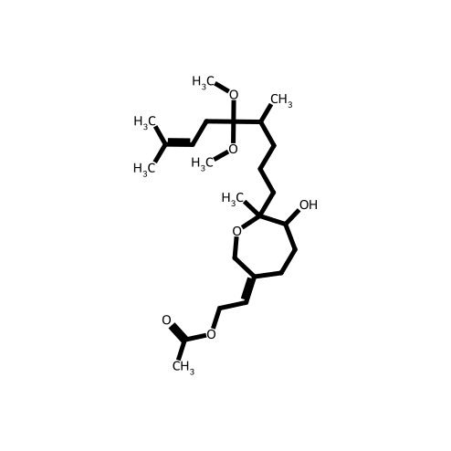 COC(CC=C(C)C)(OC)C(C)CCCC1(C)OCC(=CCOC(C)=O)CCC1O